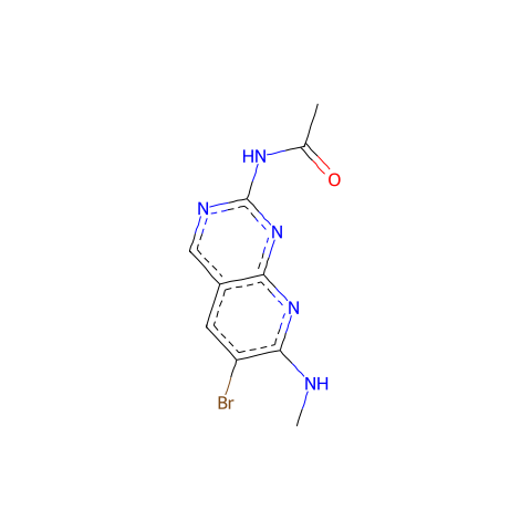 CNc1nc2nc(NC(C)=O)ncc2cc1Br